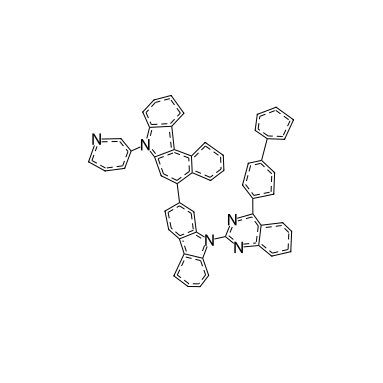 c1ccc(-c2ccc(-c3nc(-n4c5ccccc5c5ccc(-c6cc7c(c8ccccc68)c6ccccc6n7-c6cccnc6)cc54)nc4ccccc34)cc2)cc1